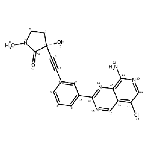 CN1CC[C@@](O)(C#Cc2cccc(-c3ncc4c(Cl)cnc(N)c4n3)c2)C1=O